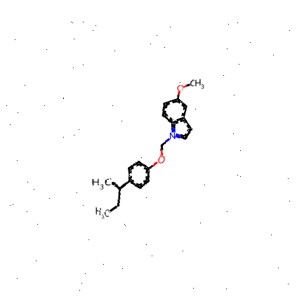 CCC(C)c1ccc(OCn2ccc3cc(OC)ccc32)cc1